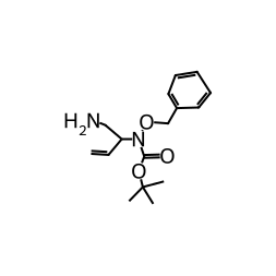 C=CC(CN)N(OCc1ccccc1)C(=O)OC(C)(C)C